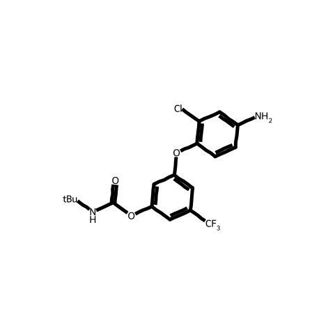 CC(C)(C)NC(=O)Oc1cc(Oc2ccc(N)cc2Cl)cc(C(F)(F)F)c1